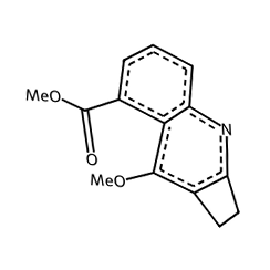 COC(=O)c1cccc2nc3c(c(OC)c12)CC3